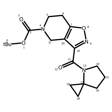 CC(C)(C)OC(=O)N1CCc2onc(C(=O)N3CCCC34CC4)c2C1